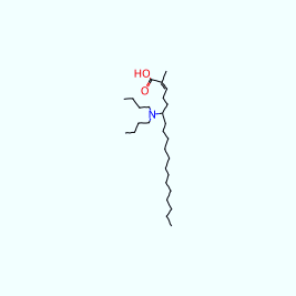 CCCCCCCCCCCCCC(CCC=C(C)C(=O)O)N(CCCC)CCCC